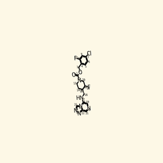 O=C(OCc1ccc(Cl)cc1F)N1CC[C@H](CNc2cncc3nncn23)[C@H](F)C1